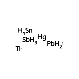 [Hg].[PbH2].[SbH3].[SnH4].[Tl]